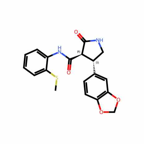 CSc1ccccc1NC(=O)[C@H]1C(=O)NC[C@@H]1c1ccc2c(c1)OCO2